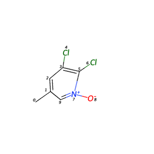 Cc1cc(Cl)c(Cl)[n+]([O-])c1